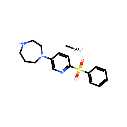 CS(=O)(=O)O.O=S(=O)(c1ccccc1)c1ccc(N2CCCNCC2)cn1